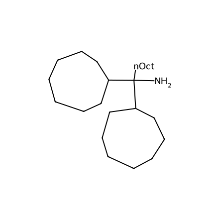 CCCCCCCCC(N)(C1CCCCCCC1)C1CCCCCCC1